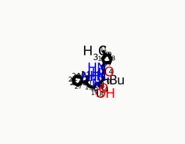 CCC(C)[C@H](NC(=O)Nc1cccc(C)c1)C(=O)N[C@H](CO)Cc1c[nH]c2ccccc12